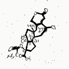 CC(=O)O[C@]1(C(C)=O)CC[C@H]2[C@@H]3C=C(Cl)C4=CC(=O)OC[C@]4(C)[C@H]3CC[C@@]21C